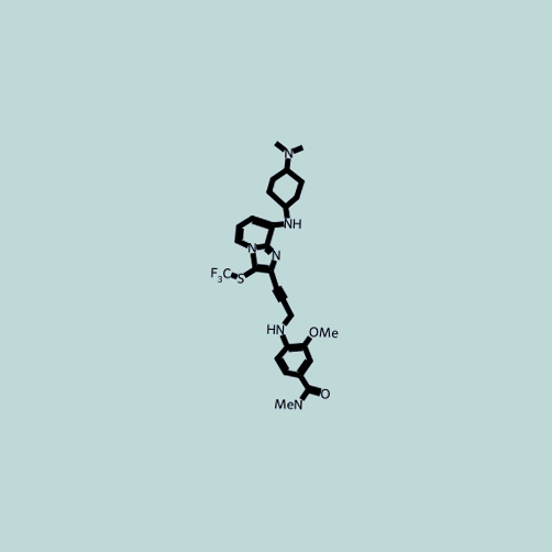 CNC(=O)c1ccc(NCC#Cc2nc3c(NC4CCC(N(C)C)CC4)cccn3c2SC(F)(F)F)c(OC)c1